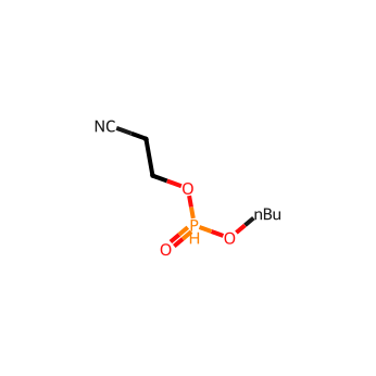 CCCCO[PH](=O)OCCC#N